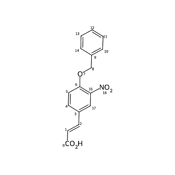 O=C(O)C=Cc1ccc(OCc2ccccc2)c([N+](=O)[O-])c1